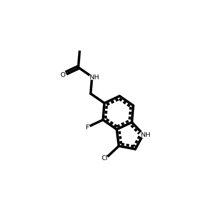 CC(=O)NCc1ccc2[nH]cc(Cl)c2c1F